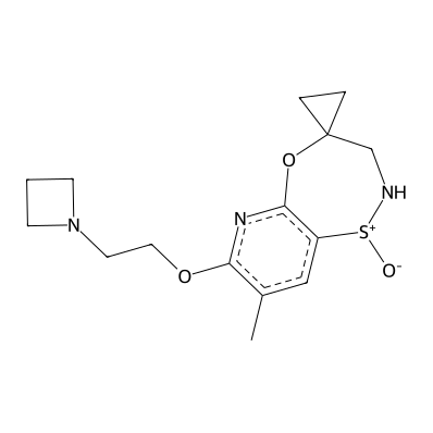 Cc1cc2c(nc1OCCN1CCC1)OC1(CC1)CN[S+]2[O-]